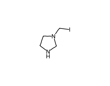 ICN1CCNC1